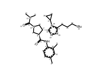 Cc1ccc(NC(=O)[C@H]2CN(C(=O)N(C)C)C[C@@H]2c2nnc(CCCC(C)(C)C)n2C2CC2)c(C)c1